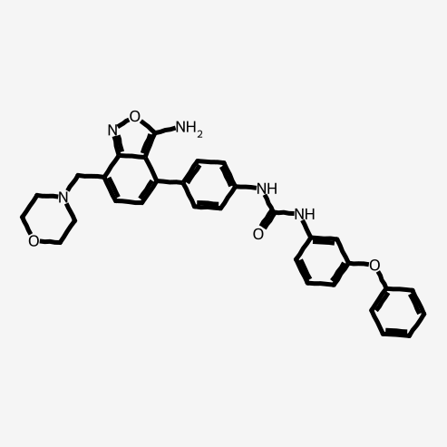 Nc1onc2c(CN3CCOCC3)ccc(-c3ccc(NC(=O)Nc4cccc(Oc5ccccc5)c4)cc3)c12